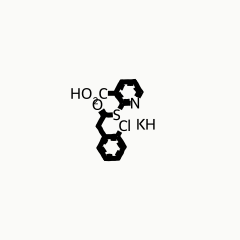 O=C(Cc1ccccc1Cl)Sc1ncccc1C(=O)O.[KH]